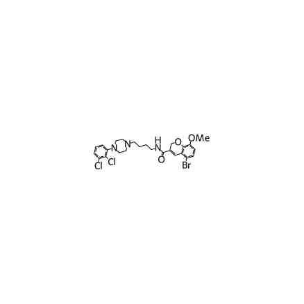 COc1ccc(Br)c2c1OCC(C(=O)NCCCCN1CCN(c3cccc(Cl)c3Cl)CC1)=C2